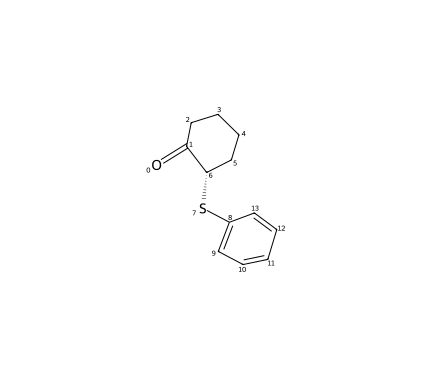 O=C1CCCC[C@@H]1Sc1ccccc1